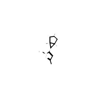 CC(C)n1nc(I)cc1[C@H]1[C@@H]2C[C@@H](F)C[C@@H]21